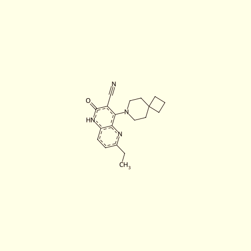 CCc1ccc2[nH]c(=O)c(C#N)c(N3CCC4(CCC4)CC3)c2n1